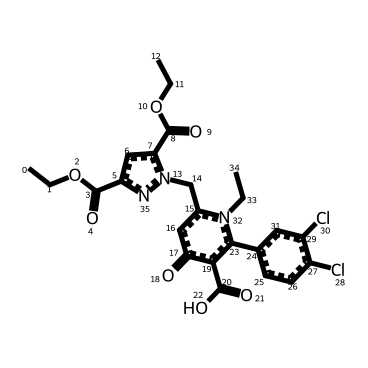 CCOC(=O)c1cc(C(=O)OCC)n(Cc2cc(=O)c(C(=O)O)c(-c3ccc(Cl)c(Cl)c3)n2CC)n1